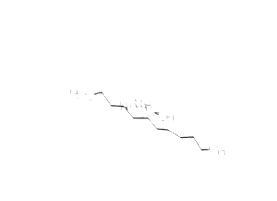 CC(=O)O.CCCCCCCCCCCC.N